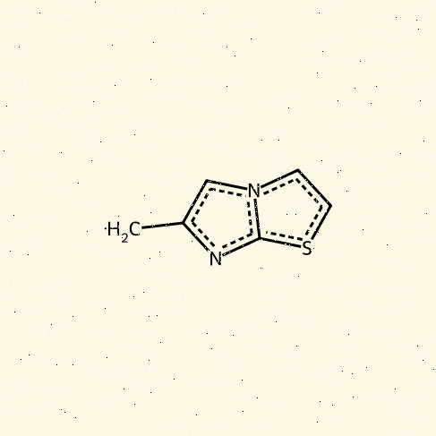 [CH2]c1cn2ccsc2n1